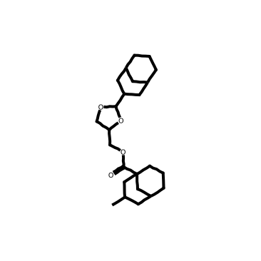 CC1CC2CCCC(C(=O)OCC3COC(C4CC5CCCC(C5)C4)O3)(C1)C2